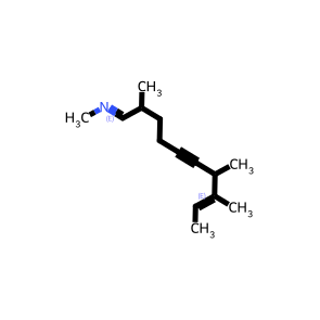 C/C=C(\C)C(C)C#CCCC(C)/C=N/C